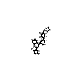 Fc1ccc(F)c(-c2cc(-c3cncc(-c4ccc(CN5CCCC5)c(F)c4)c3)c3cccnc3n2)c1